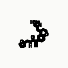 O=C(NCc1ccco1)Nc1ccc2c(c1)N(Cc1c[nH]cn1)CCO2